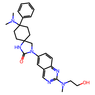 CN(CCO)c1ncc2cc(N3CC4(CCC(c5ccccc5)(N(C)C)CC4)NC3=O)ccc2n1